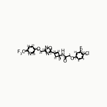 CC1(NC(=O)COc2ccc(Cl)c(F)c2)C=C(c2nc(COc3ccc(C(F)(F)F)nc3)no2)C1